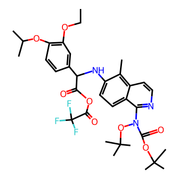 CCOc1cc(C(Nc2ccc3c(N(OC(C)(C)C)C(=O)OC(C)(C)C)nccc3c2C)C(=O)OC(=O)C(F)(F)F)ccc1OC(C)C